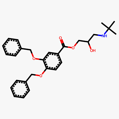 CC(C)(C)NCC(O)COC(=O)c1ccc(OCc2ccccc2)c(OCc2ccccc2)c1